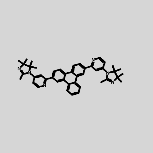 CC1=NC(C)(C)C(C)(C)N1c1ccnc(-c2ccc3c4ccc(-c5cc(N6C(C)=NC(C)(C)C6(C)C)ccn5)cc4c4ccccc4c3c2)c1